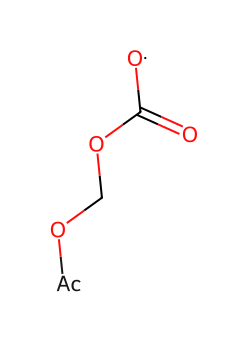 CC(=O)OCOC([O])=O